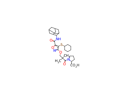 CC(C)(COc1noc(C(=O)NC2C3CC4CC(C3)CC2C4)c1SC1CCCCC1)C(=O)N1CCC[C@H]1C(=O)O